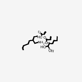 C=CC(=O)O.C=CC(=O)O.CCCCC(CC)CN.CCCCCC(O)O